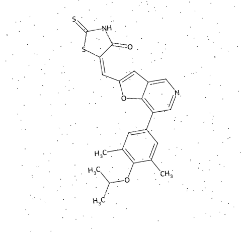 Cc1cc(-c2cncc3cc(C=C4SC(=S)NC4=O)oc23)cc(C)c1OC(C)C